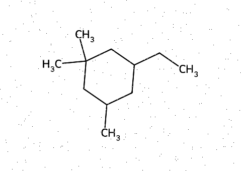 CCC1CC(C)CC(C)(C)C1